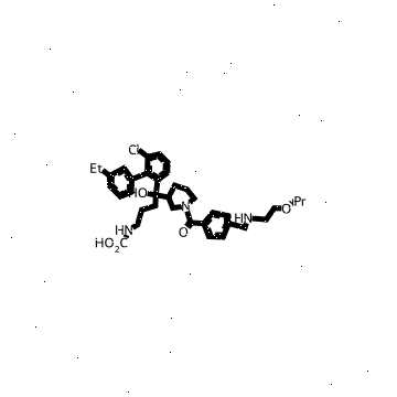 CCc1cccc(-c2c(Cl)cccc2C(O)(CCCNC(=O)O)C2CCCN(C(=O)c3ccc(CNCCOC(C)C)cc3)C2)c1